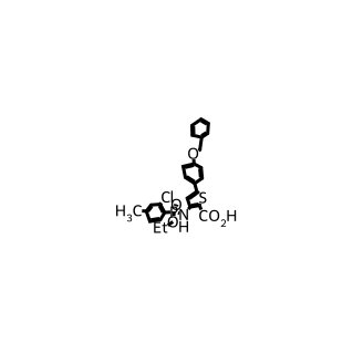 CCOP(=O)(Nc1cc(-c2ccc(OCc3ccccc3)cc2)sc1C(=O)O)c1ccc(C)cc1Cl